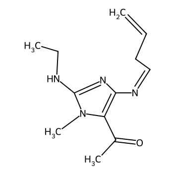 C=CC/C=N\c1nc(NCC)n(C)c1C(C)=O